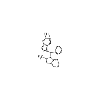 Cc1ccc2c(ccn2C(=C2C(C(F)(F)F)=Cc3ccccc32)c2ccccc2)c1